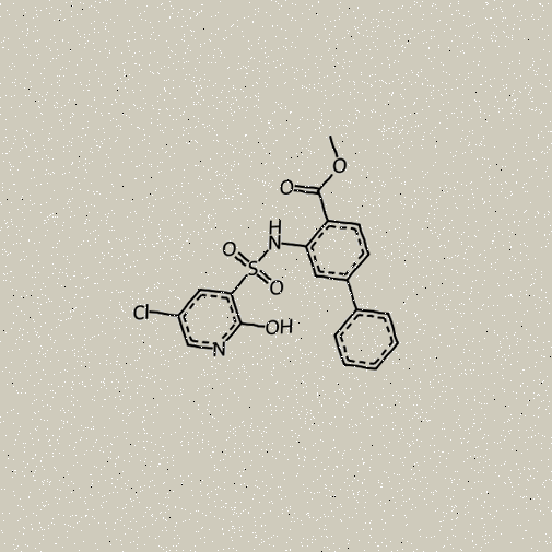 COC(=O)c1ccc(-c2ccccc2)cc1NS(=O)(=O)c1cc(Cl)cnc1O